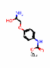 CC(C)(C)OC(=O)Nc1ccc(OCC(N)O)cc1